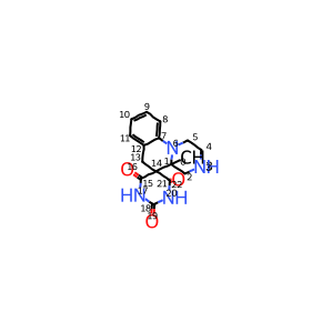 CC12CNCCN1c1ccccc1CC21C(=O)NC(=O)NC1=O